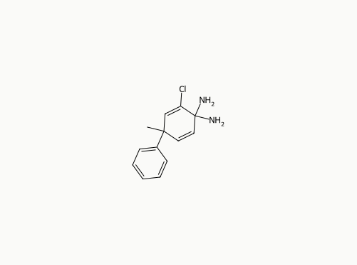 CC1(c2ccccc2)C=CC(N)(N)C(Cl)=C1